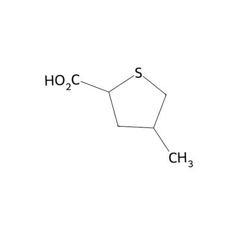 CC1CSC(C(=O)O)C1